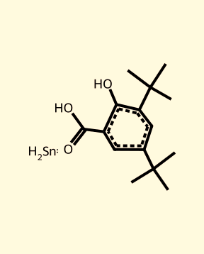 CC(C)(C)c1cc(C(=O)O)c(O)c(C(C)(C)C)c1.[SnH2]